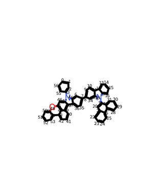 c1ccc(-n2c3cc(-c4ccc5c6ccccc6n(-c6cc7ccccc7c7ccccc67)c5c4)ccc3c3c4cccc5c4c(cc32)Oc2ccccc2-5)cc1